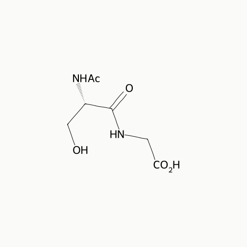 CC(=O)N[C@@H](CO)C(=O)NCC(=O)O